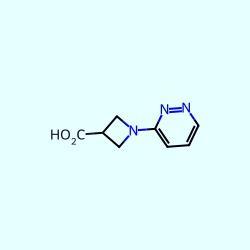 O=C(O)C1CN(c2cccnn2)C1